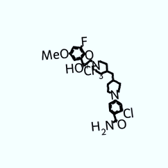 COc1cc(F)cc([C@@](O)(C(=O)N2CCC(CC3CCN(c4ccc(C(N)=O)c(Cl)c4)CC3)CC2)C(F)(F)F)c1